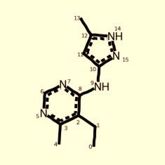 CCc1c(C)ncnc1Nc1cc(C)[nH]n1